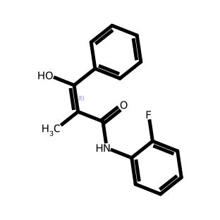 C/C(C(=O)Nc1ccccc1F)=C(\O)c1ccccc1